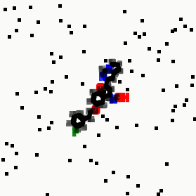 O/N=c1\cc(-c2cc3cccn3cn2)oc2ccc(OCCc3cccc(F)c3)cc12